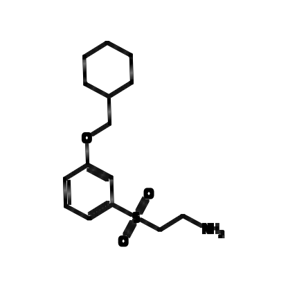 NCCS(=O)(=O)c1cccc(OCC2CCCCC2)c1